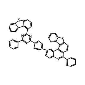 c1ccc(-c2cc(-c3ccc(-c4ccc5nc(-c6ccccc6)c6ccc7sc8ccccc8c7c6c5c4)cc3)nc(-c3cccc4sc5ccccc5c34)n2)cc1